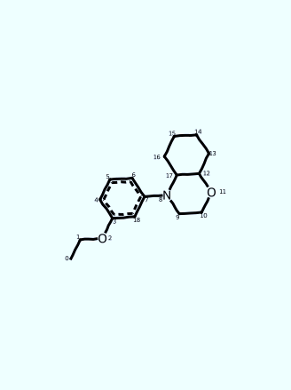 CCOc1cccc(N2CCOC3CCCCC32)c1